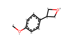 COc1ccc(C2COC2)cc1